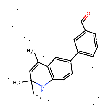 CC1=CC(C)(C)Nc2ccc(-c3cccc(C=O)c3)cc21